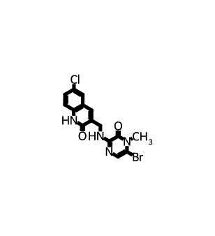 Cn1c(Br)cnc(NCc2cc3cc(Cl)ccc3[nH]c2=O)c1=O